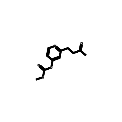 COC(=O)Oc1ccnc(CCC(C)=O)c1